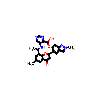 Cc1cc(C(C)Nc2cncnc2C(=O)O)c2oc(-c3ccc4nn(C)cc4c3)cc(=O)c2c1